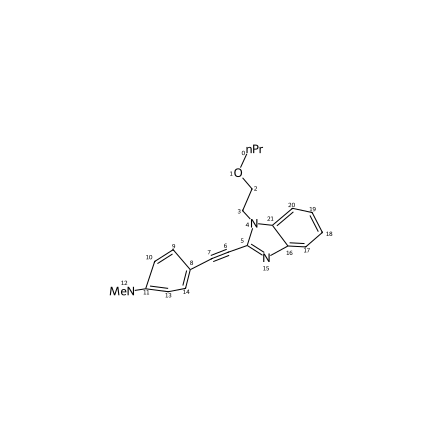 CCCOCCn1c(C#Cc2ccc(NC)cc2)nc2ccccc21